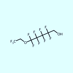 OCC(F)(F)C(F)(F)C(F)(F)C(F)(F)OCC(F)(F)F